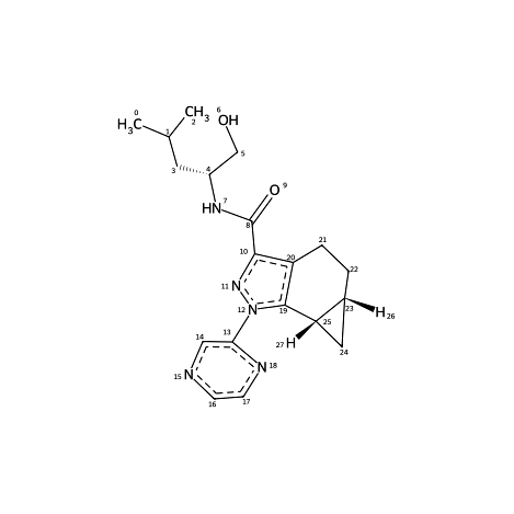 CC(C)C[C@H](CO)NC(=O)c1nn(-c2cnccn2)c2c1CC[C@@H]1C[C@H]21